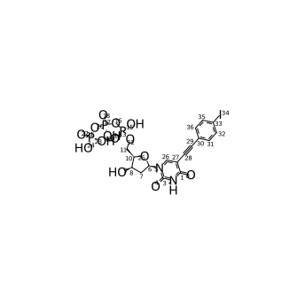 O=c1[nH]c(=O)n([C@H]2C[C@@H](O)[C@@H](COP(=O)(O)OP(=O)(O)OP(=O)(O)O)O2)cc1C#Cc1ccc(I)cc1